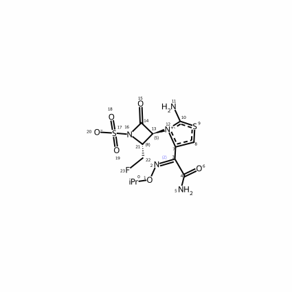 CC(C)O/N=C(\C(N)=O)c1csc(N)[n+]1[C@@H]1C(=O)N(S(=O)(=O)[O-])[C@H]1CF